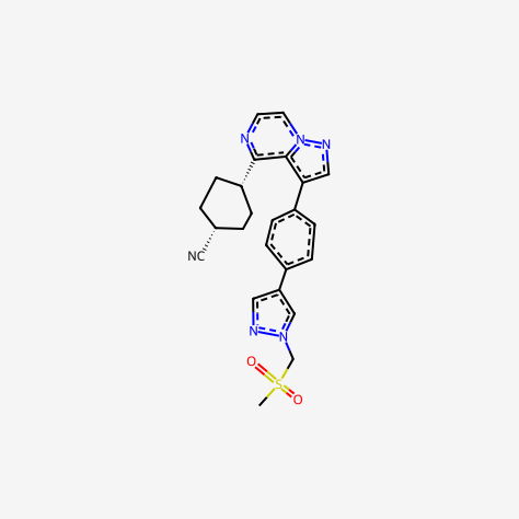 CS(=O)(=O)Cn1cc(-c2ccc(-c3cnn4ccnc([C@H]5CC[C@@H](C#N)CC5)c34)cc2)cn1